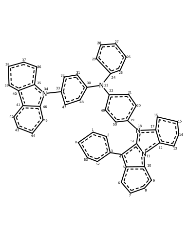 c1ccc(-c2c3ccccc3n3c4ccccc4n(-c4ccc(N(c5ccccc5)c5ccc(-n6c7ccccc7c7ccccc76)cc5)cc4)c23)cc1